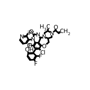 C=CC(=O)N1CC2COc3c(Cl)c(-c4c(O)ccc(F)c4F)c(F)c4c3c(nc(=O)n4-c3c(C)ccnc3C(C)C)N2CC1C